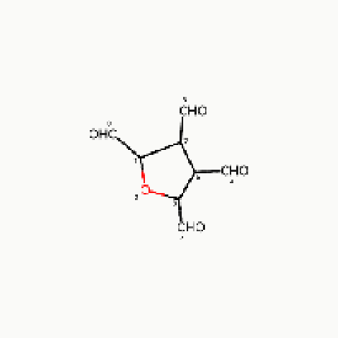 O=CC1OC(C=O)C(C=O)C1C=O